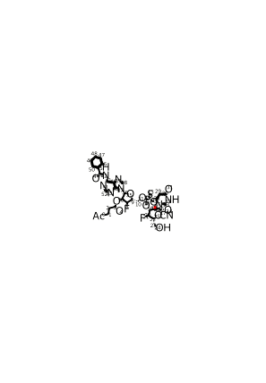 CC(=O)CCC(=O)OC1C(F)[C@@H](COP(=S)(OCCC#N)OC2C(F)[C@@H](CO)O[C@H]2n2ccc(=O)[nH]c2=O)O[C@H]1n1cnc2c(NC(=O)c3ccccc3)ncnc21